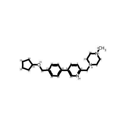 CN1CCN(Cc2ccc(-c3ccc(COC4CCCC4)cc3)cn2)CC1